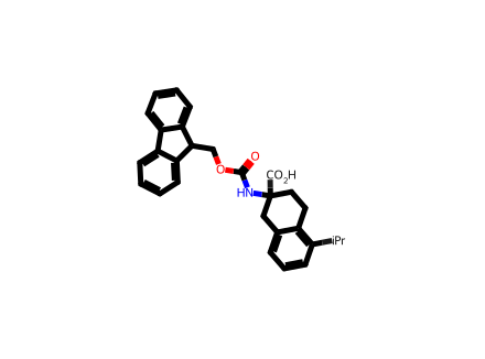 CC(C)c1cccc2c1CCC(NC(=O)OCC1c3ccccc3-c3ccccc31)(C(=O)O)C2